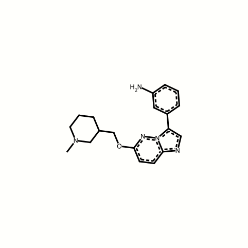 CN1CCCC(COc2ccc3ncc(-c4cccc(N)c4)n3n2)C1